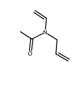 C=CCN(C=C)C(C)=O